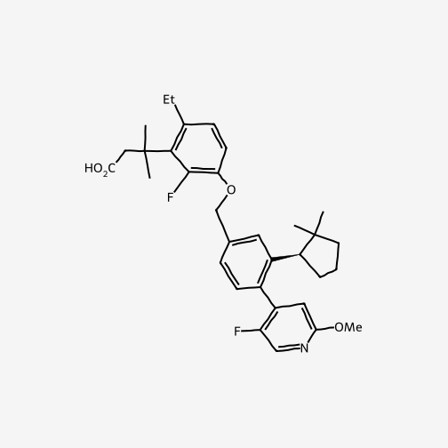 CCc1ccc(OCc2ccc(-c3cc(OC)ncc3F)c([C@@H]3CCCC3(C)C)c2)c(F)c1C(C)(C)CC(=O)O